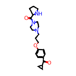 O=C(c1ccc(OCCCN2CCN(C(=O)C3CCCN3)CC2)cc1)C1CC1